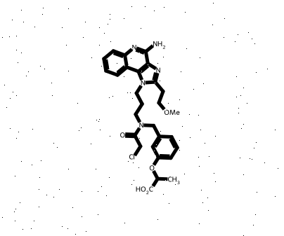 COCCc1nc2c(N)nc3ccccc3c2n1CCCN(Cc1cccc(OC(C)C(=O)O)c1)C(=O)CCl